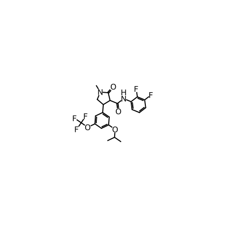 CC(C)Oc1cc(OC(F)(F)F)cc(C2CN(C)C(=O)C2C(=O)Nc2cccc(F)c2F)c1